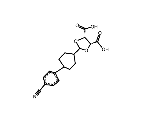 N#Cc1ccc(C2CCC(C3O[C@H](C(=O)O)[C@@H](C(=O)O)O3)CC2)cc1